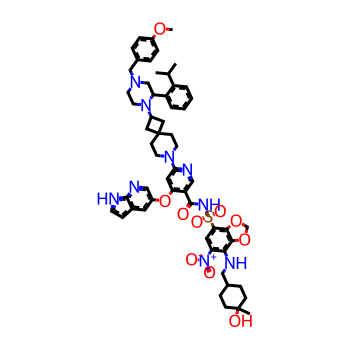 COc1ccc(CN2CCN(C3CC4(CCN(c5cc(Oc6cnc7[nH]ccc7c6)c(C(=O)NS(=O)(=O)c6cc([N+](=O)[O-])c(NCC7CCC(C)(O)CC7)c7c6OCO7)cn5)CC4)C3)C(c3ccccc3C(C)C)C2)cc1